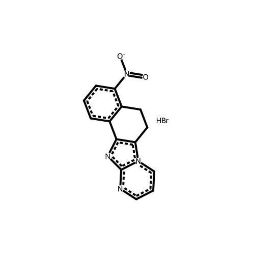 Br.O=[N+]([O-])c1cccc2c1CCc1c-2nc2ncccn12